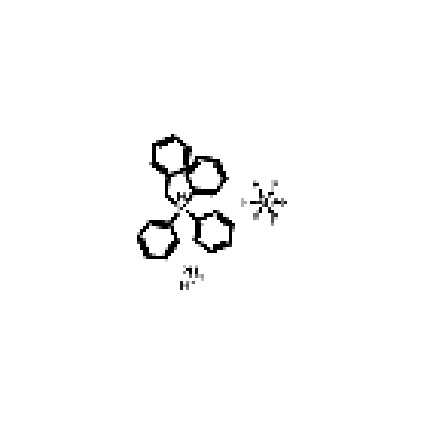 P.[F][Sb-]([F])([F])([F])([F])[F].[H+].c1ccc(C[PH](c2ccccc2)(c2ccccc2)c2ccccc2)cc1